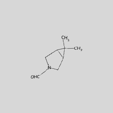 CC1(C)C2CN(C=O)CC21